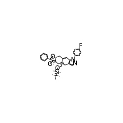 CC(C)(C)[Si](C)(C)OC[C@]12Cc3cnn(-c4ccc(F)cc4)c3C=C1CC[C@](C)(S(=O)(=O)c1ccccc1)C2